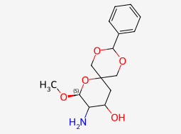 CO[C@H]1OC2(COC(c3ccccc3)OC2)CC(O)C1N